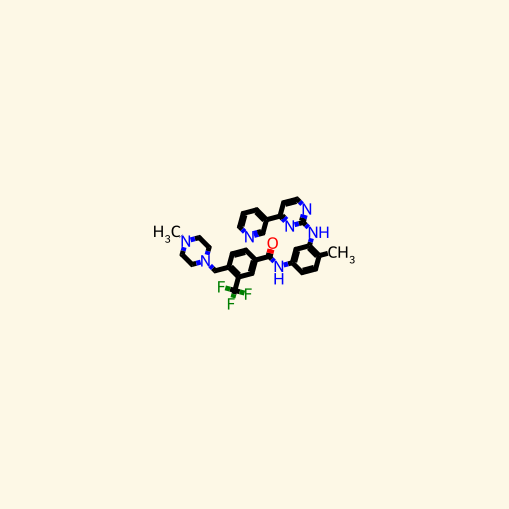 Cc1ccc(NC(=O)c2ccc(CN3CCN(C)CC3)c(C(F)(F)F)c2)cc1Nc1nccc(-c2cccnc2)n1